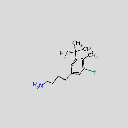 Cc1c(F)cc(CCCCN)cc1C(C)(C)C